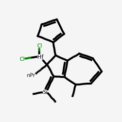 CCC[C]1([Hf]([Cl])[Cl])C(=[Si](C)C)C2=C(C=CC=CC2C)C1C1=CC=CC1